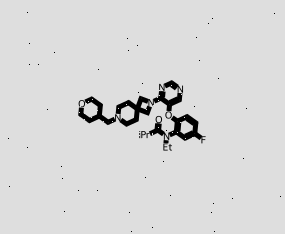 CCN(C(=O)C(C)C)c1cc(F)ccc1Oc1cncnc1N1CC2(CCN(CC3CCOCC3)CC2)C1